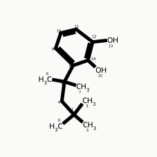 CC(C)(C)CC(C)(C)c1cccc(O)c1O